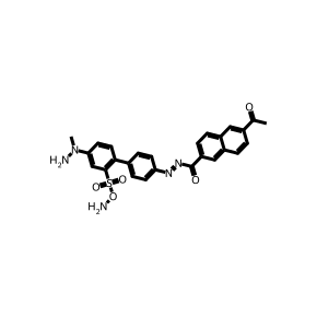 CC(=O)c1ccc2cc(C(=O)N=Nc3ccc(-c4ccc(N(C)N)cc4S(=O)(=O)ON)cc3)ccc2c1